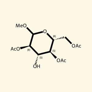 COC1O[C@H](COC(C)=O)[C@@H](OC(C)=O)[C@H](O)[C@H]1OC(C)=O